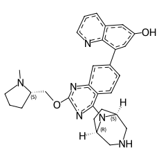 CN1CCC[C@H]1COc1nc(N2[C@@H]3CC[C@H]2CNC3)c2ccc(-c3cc(O)cc4cccnc34)cc2n1